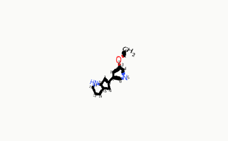 C=COc1cncc(C2=CC3NCCCC3C2)c1